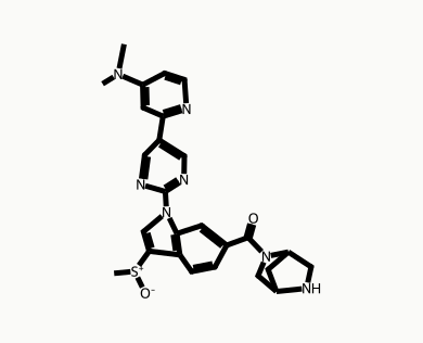 CN(C)c1ccnc(-c2cnc(-n3cc([S+](C)[O-])c4ccc(C(=O)N5CC6CC5CN6)cc43)nc2)c1